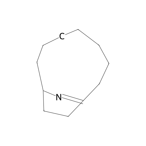 C1CCCC2=NC(CCC1)CC2